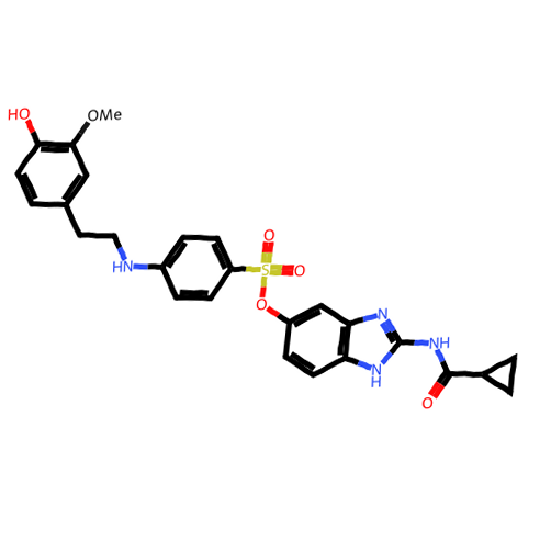 COc1cc(CCNc2ccc(S(=O)(=O)Oc3ccc4[nH]c(NC(=O)C5CC5)nc4c3)cc2)ccc1O